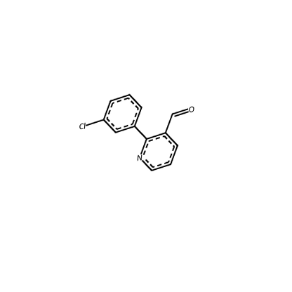 O=Cc1cccnc1-c1cccc(Cl)c1